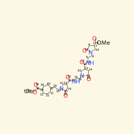 COC(=O)C1CC(=O)N(CCNC(=O)C2CC(=O)N(CCNC(=O)C3CC(=O)N(CCC4CCCC(C(=O)OC(C)(C)C)CC4)C3)C2)C1